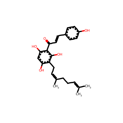 CC(C)=CCCC(C)=CCc1c(O)cc(O)c(C(=O)C=Cc2ccc(O)cc2)c1O